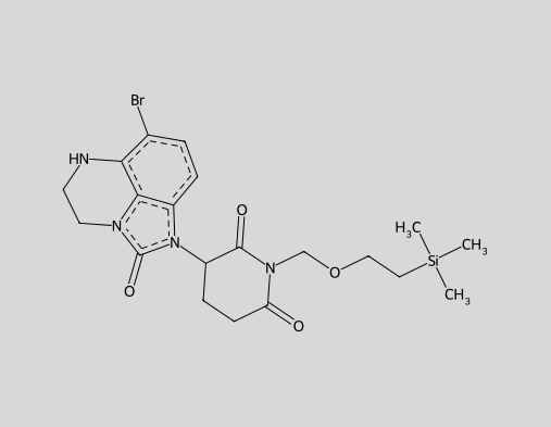 C[Si](C)(C)CCOCN1C(=O)CCC(n2c(=O)n3c4c(c(Br)ccc42)NCC3)C1=O